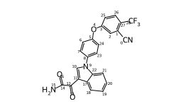 N#Cc1cc(Oc2ccc(-n3cc(C(=O)C(N)=O)c4ccccc43)cc2)ccc1C(F)(F)F